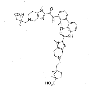 Cn1c(C(=O)Nc2cccc(-c3cccc(NC(=O)c4nc5c(n4C)CCN(CC(C)(C)CC(=O)O)C5)c3Cl)c2Cl)nc2c1CCN(CCC13CCC(C(=O)O)(CC1)C3)C2